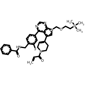 C=CC(=O)N1CC=C(c2cn(COCC[Si](C)(C)C)c3ncnc(-c4ccc(CNC(=O)c5ccccc5)c(F)c4)c23)CC1